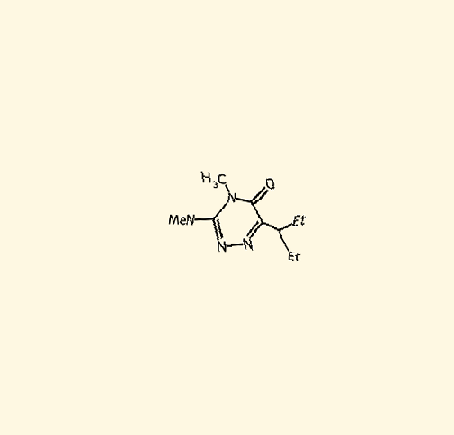 CCC(CC)c1nnc(NC)n(C)c1=O